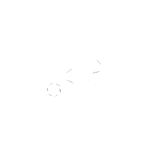 CC1(C)C2=CC(I)=CCC2C2C=CC(c3ccccc3)=CC21